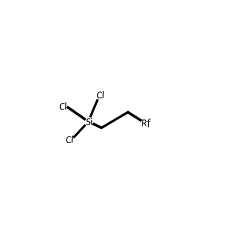 Cl[Si](Cl)(Cl)C[CH2][Rf]